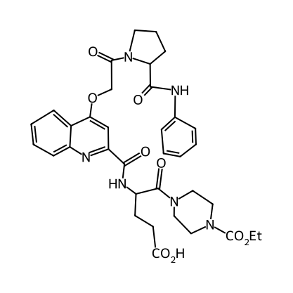 CCOC(=O)N1CCN(C(=O)C(CCC(=O)O)NC(=O)c2cc(OCC(=O)N3CCCC3C(=O)Nc3ccccc3)c3ccccc3n2)CC1